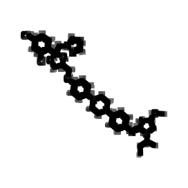 CCC(C)N1CC(OC)S/C1=N\c1ccc(N2CCN(c3ccc(OCC4COC(Cn5cncn5)(c5ccc(Cl)cc5Cl)O4)cc3)CC2)cc1